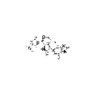 Cc1cc(-c2[nH]nc(C(=O)N3CCC(N(C)C)C3)c2C(C)C)cn2ncnc12